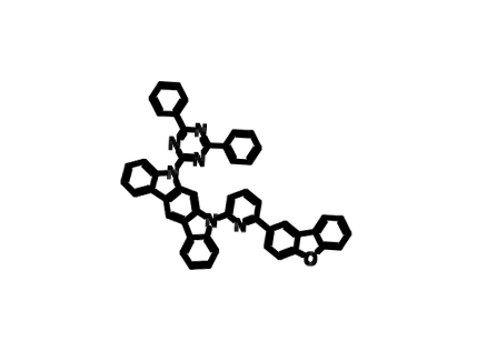 c1ccc(-c2nc(-c3ccccc3)nc(-n3c4ccccc4c4cc5c6ccccc6n(-c6cccc(-c7ccc8oc9ccccc9c8c7)n6)c5cc43)n2)cc1